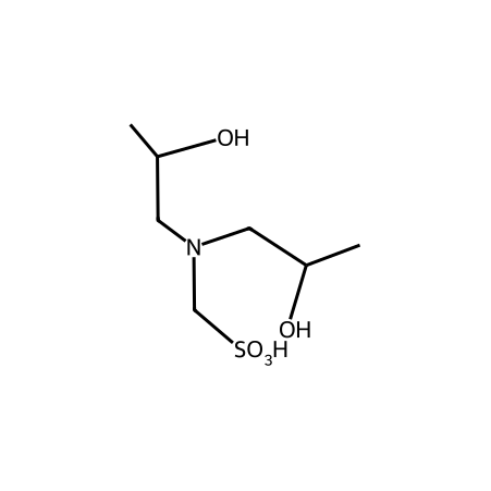 CC(O)CN(CC(C)O)CS(=O)(=O)O